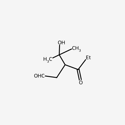 CCC(=O)C(CC=O)C(C)(C)O